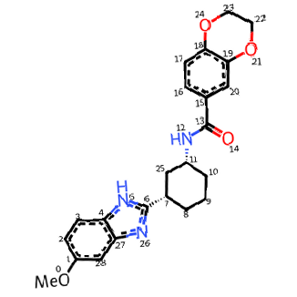 COc1ccc2[nH]c([C@H]3CCC[C@@H](NC(=O)c4ccc5c(c4)OCCO5)C3)nc2c1